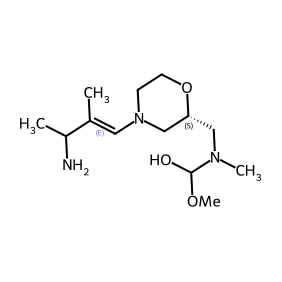 COC(O)N(C)C[C@@H]1CN(/C=C(\C)C(C)N)CCO1